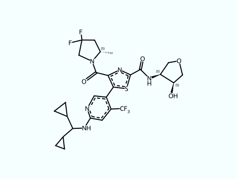 C[C@H]1CC(F)(F)CN1C(=O)c1nc(C(=O)N[C@H]2COC[C@H]2O)sc1-c1cnc(NC(C2CC2)C2CC2)cc1C(F)(F)F